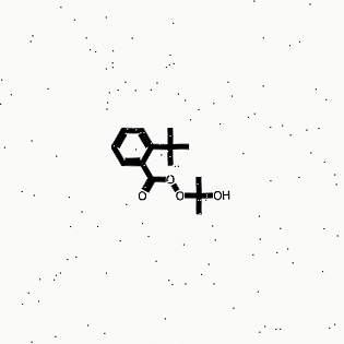 CC(C)(O)OOC(=O)c1ccccc1C(C)(C)C